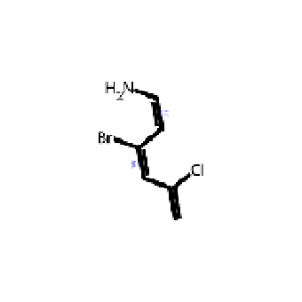 C=C(Cl)/C=C(Br)\C=C/N